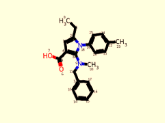 CCc1cc(C(=O)O)c(N(C)Cc2ccccc2)n1-c1ccc(C)cc1